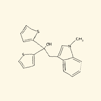 Cn1cc(CC(O)(c2cccs2)c2cccs2)c2ccccc21